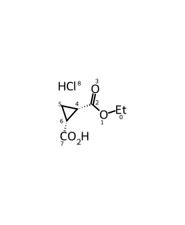 CCOC(=O)[C@H]1C[C@H]1C(=O)O.Cl